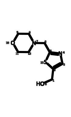 OCc1cnc(CN2CCOCC2)s1